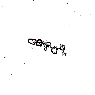 CNC(=O)C1CC2CCC(C1)N2c1ccc(N2CCN(c3cccc(-c4nncn4C(C)C)n3)C2=O)cc1